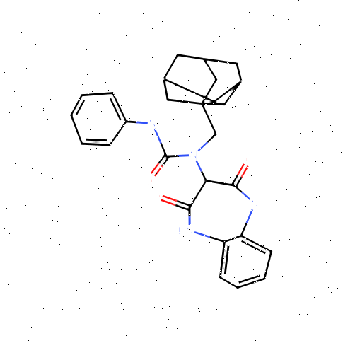 O=C1Nc2ccccc2NC(=O)C1N(CC12CC3CC(CC(C3)C1)C2)C(=O)Nc1ccccc1